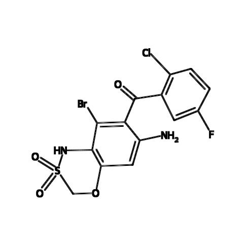 Nc1cc2c(c(Br)c1C(=O)c1cc(F)ccc1Cl)NS(=O)(=O)CO2